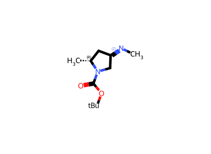 C/N=C1/C[C@@H](C)N(C(=O)OC(C)(C)C)C1